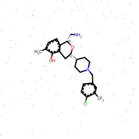 Cc1ccc2c(c1O)C[C@@H](C1CCN(Cc3ccc(Cl)c(C(F)(F)F)c3)CC1)O[C@H]2CN